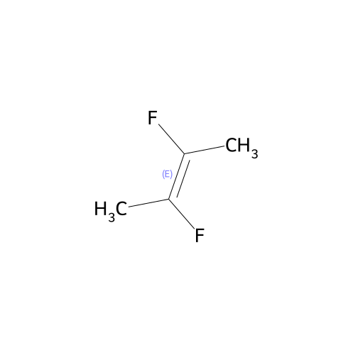 C/C(F)=C(/C)F